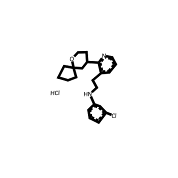 Cl.Clc1cccc(NCCc2cccnc2C2CCOC3(CCCC3)C2)c1